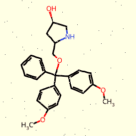 COc1ccc(C(OCC2C[C@@H](O)CN2)(c2ccccc2)c2ccc(OC)cc2)cc1